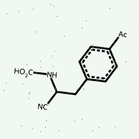 CC(=O)c1ccc(CC(C#N)NC(=O)O)cc1